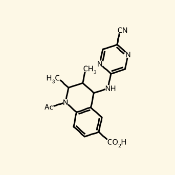 CC(=O)N1c2ccc(C(=O)O)cc2C(Nc2cnc(C#N)cn2)C(C)C1C